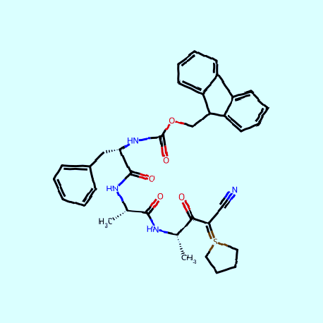 C[C@H](NC(=O)[C@H](Cc1ccccc1)NC(=O)OCC1c2ccccc2-c2ccccc21)C(=O)N[C@@H](C)C(=O)C(C#N)=S1CCCC1